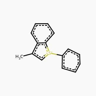 Cc1c[s+](-c2ccccc2)c2ccccc12